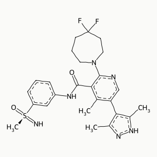 Cc1n[nH]c(C)c1-c1cnc(N2CCCC(F)(F)CC2)c(C(=O)Nc2cccc([S@](C)(=N)=O)c2)c1C